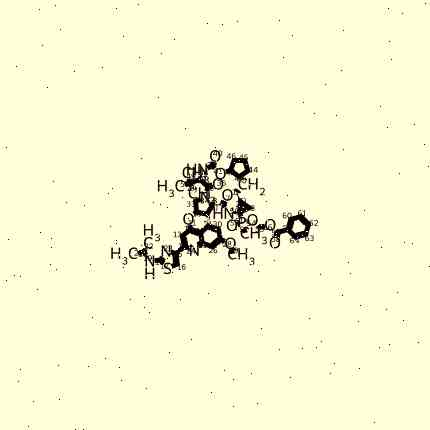 C=C[C@@H]1C[C@]1(NC(=O)[C@@H]1CC(Oc2cc(-c3csc(NC(C)C)n3)nc3cc(OC)ccc23)CN1C(=O)[C@@H](NC(=O)OC1CCCC1)C(C)(C)C)P(C)(=O)OCOC(=O)c1ccccc1